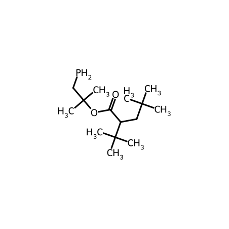 CC(C)(C)CC(C(=O)OC(C)(C)CP)C(C)(C)C